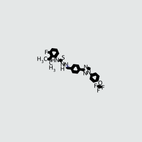 CC(C)c1c(F)cccc1NC(=S)N/N=C/c1ccc(-c2ncn(-c3ccc(OC(F)(F)F)cc3)n2)cc1